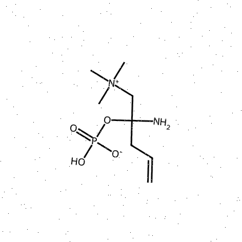 C=CCC(N)(C[N+](C)(C)C)OP(=O)([O-])O